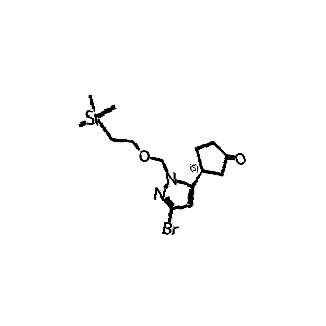 C[Si](C)(C)CCOCn1nc(Br)cc1[C@H]1CCC(=O)C1